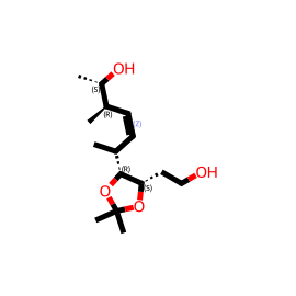 CC(/C=C\[C@@H](C)[C@H](C)O)[C@H]1OC(C)(C)O[C@H]1CCO